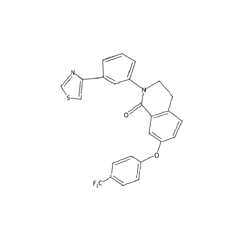 O=C1c2cc(Oc3ccc(C(F)(F)F)cc3)ccc2CCN1c1cccc(-c2cscn2)c1